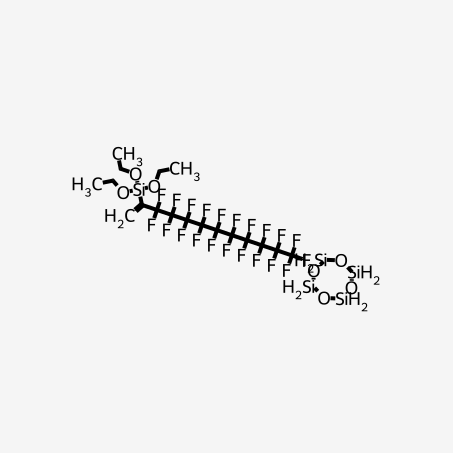 C=C(C(F)(F)C(F)(F)C(F)(F)C(F)(F)C(F)(F)C(F)(F)C(F)(F)C(F)(F)C(F)(F)C(F)(F)F)[Si](OCC)(OCC)OCC.O1[SiH2]O[SiH2]O[SiH2]O[SiH2]1